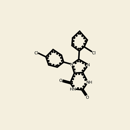 O=c1[nH]c(=O)c2c(nc(-c3ccccc3Cl)n2-c2ccc(Cl)cc2)[nH]1